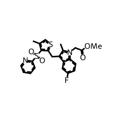 COC(=O)Cn1c(C)c(Cc2scc(C)c2S(=O)(=O)c2ccccn2)c2cc(F)ccc21